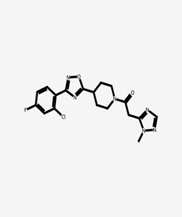 Cn1ncnc1CC(=O)N1CCC(c2nc(-c3ccc(F)cc3Cl)no2)CC1